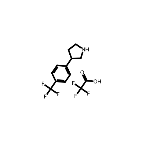 FC(F)(F)c1ccc(C2CCNC2)cc1.O=C(O)C(F)(F)F